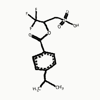 CC(C)c1ccc(C(=O)OC(CS(=O)(=O)O)C(F)(F)F)cc1